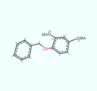 COc1ccc(O[CH]c2ccccc2)c(OC)c1